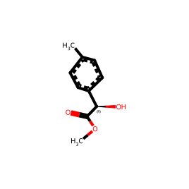 COC(=O)[C@H](O)c1ccc(C)cc1